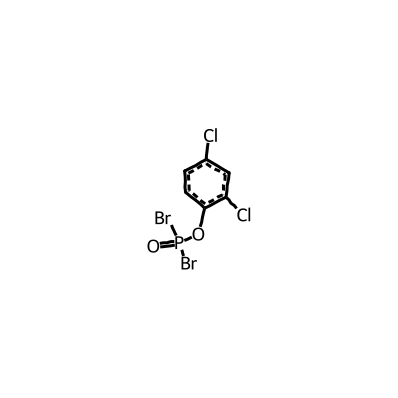 O=P(Br)(Br)Oc1ccc(Cl)cc1Cl